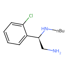 CCCCN[C@@H](CN)c1ccccc1Cl